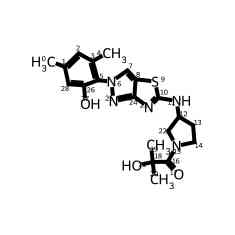 Cc1cc(C)c(-n2cc3sc(NC4CCN(C(=O)C(C)(C)O)C4)nc3n2)c(O)c1